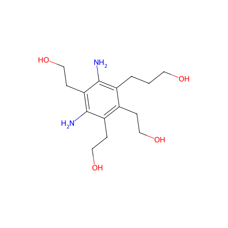 Nc1c(CCO)c(N)c(CCCO)c(CCO)c1CCO